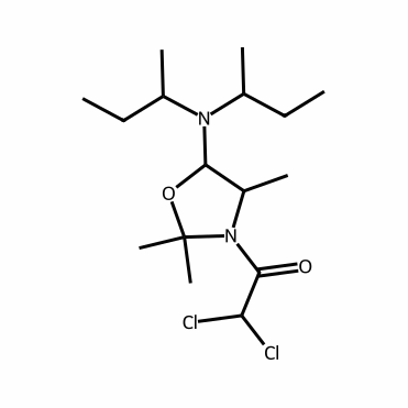 CCC(C)N(C(C)CC)C1OC(C)(C)N(C(=O)C(Cl)Cl)C1C